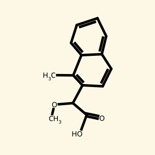 COC(C(=O)O)c1ccc2ccccc2c1C